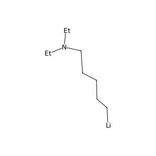 [Li][CH2]CCCCN(CC)CC